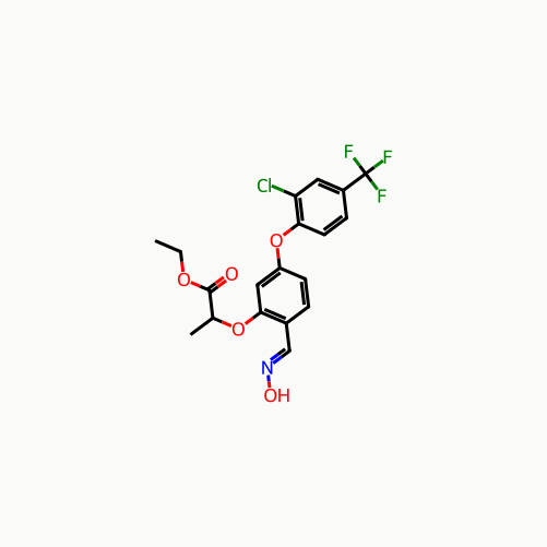 CCOC(=O)C(C)Oc1cc(Oc2ccc(C(F)(F)F)cc2Cl)ccc1C=NO